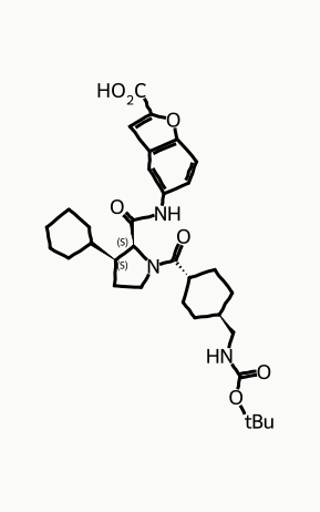 CC(C)(C)OC(=O)NC[C@H]1CC[C@H](C(=O)N2CC[C@@H](C3CCCCC3)[C@H]2C(=O)Nc2ccc3oc(C(=O)O)cc3c2)CC1